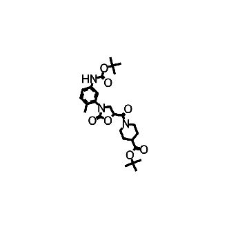 Cc1ccc(NC(=O)OC(C)(C)C)cc1N1CC(C(=O)N2CCC(C(=O)OC(C)(C)C)CC2)OC1=O